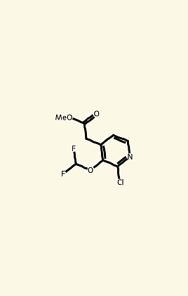 COC(=O)Cc1ccnc(Cl)c1OC(F)F